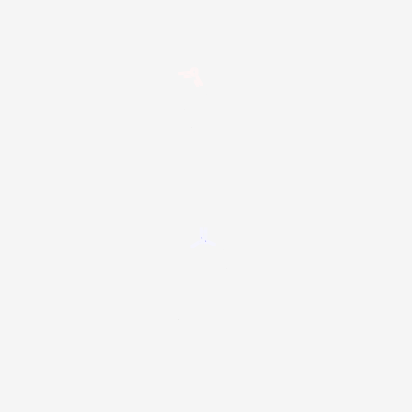 CCC1=C(c2cccc(-c3cccc(-c4cc5oc6cccc7c8ccccc8c(c4)c5c67)c3)c2)NC(c2ccccc2)c2ccc3ccccc3c21